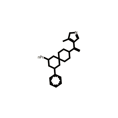 C=C(C1=C(C)CN=C1)C1CCC2(CC1)CC(CCC)CC(c1ccccc1)C2